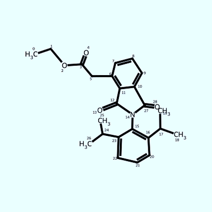 CCOC(=O)Cc1cccc2c1C(=O)N(c1c(C(C)C)cccc1C(C)C)C2=O